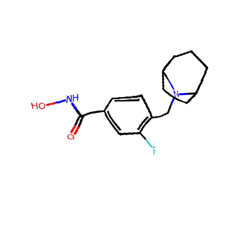 O=C(NO)c1ccc(CN2C3CCCC2CC3)c(F)c1